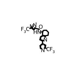 Cn1nc(C(F)(F)F)cc1C(=O)N[C@H]1CCCCc2nc(-c3ccnc(C(F)(F)F)c3)ccc21